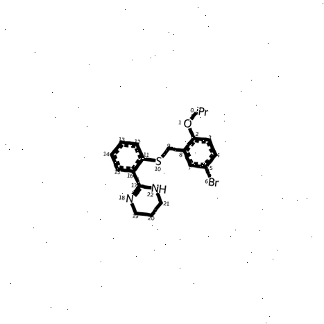 CC(C)Oc1ccc(Br)cc1CSc1ccccc1C1=NCCCN1